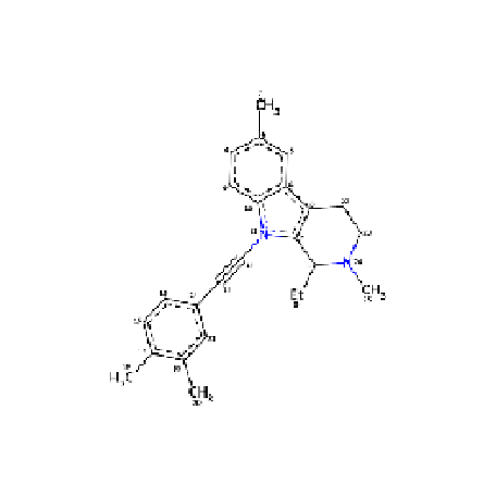 CCC1c2c(c3cc(C)ccc3n2C#Cc2ccc(C)c(C)c2)CCN1C